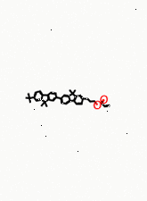 C=CC(=O)OCCCc1ccc2c(c1)C(C)(C)c1cc(-c3ccc4c(c3)C(C)(C)c3cc(C(C)(C)C)ccc3-4)ccc1-2